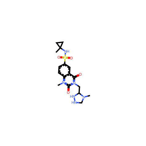 CN1CNNC1Cn1c(=O)c2cc(S(=O)(=O)NC3(C)CC3)ccc2n(C)c1=O